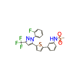 CS(=O)(=O)Nc1cccc(-c2ccc(-c3cc(C(F)(F)F)nn3-c3ccccc3F)s2)c1